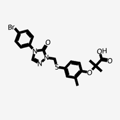 Cc1cc(SCn2ncn(-c3ccc(Br)cc3)c2=O)ccc1OC(C)(C)C(=O)O